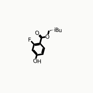 CC[C@@H](C)COC(=O)c1ccc(O)cc1F